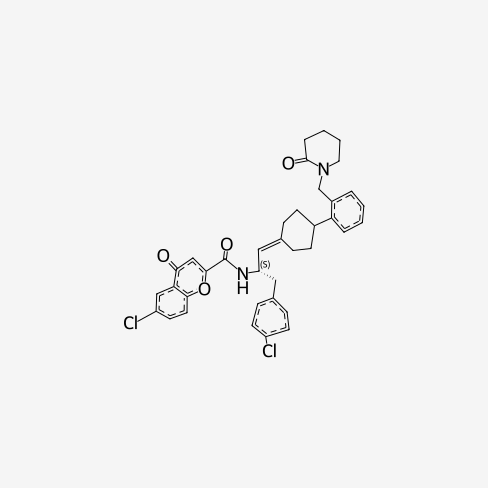 O=C(N[C@H](C=C1CCC(c2ccccc2CN2CCCCC2=O)CC1)Cc1ccc(Cl)cc1)c1cc(=O)c2cc(Cl)ccc2o1